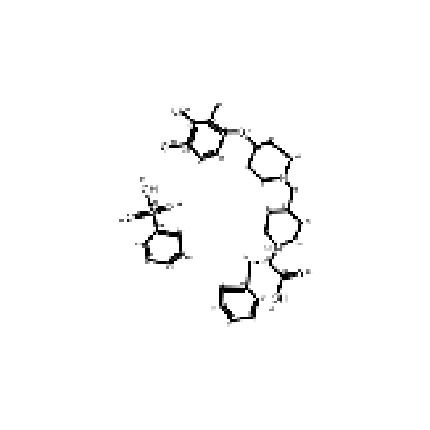 Cc1c(OC2CCN(CC3CCN([C@@H](Cc4ccccc4)C(=O)O)CC3)CC2)ccc(Cl)c1Cl.O=S(=O)(O)c1ccccc1